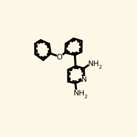 Nc1ccc(-c2ccccc2Oc2ccccc2)c(N)n1